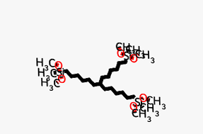 CO[Si](C)(CCCCCCC(CCCCCC[Si](C)(OC)OC)CCCCCC[Si](C)(OC)OC)OC